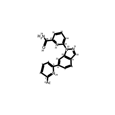 CC(=O)c1cccc(-c2ccc3cnn(-c4cccc(C(N)=O)n4)c3c2)n1